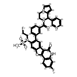 CS(=O)(=O)N(CCF)c1cc2oc3c4ccc(F)cc4[nH]c(=O)c3c2cc1-c1cccc(C(=O)N2CCn3cccc3C2c2cccnc2)c1